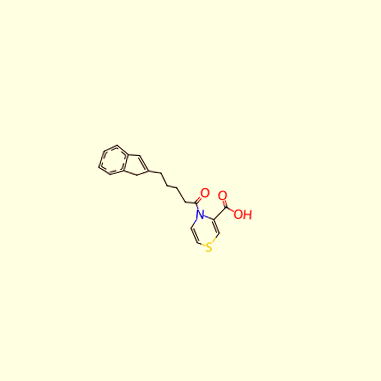 O=C(O)C1=CSC=CN1C(=O)CCCCC1=Cc2ccccc2C1